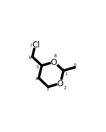 C[C]1OCCC(CCl)O1